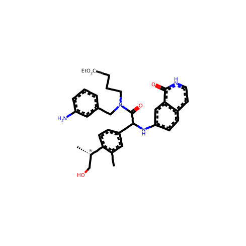 CCOC(=O)CCCN(Cc1cccc(N)c1)C(=O)C(Nc1ccc2cc[nH]c(=O)c2c1)c1ccc([C@@H](C)CO)c(C)c1